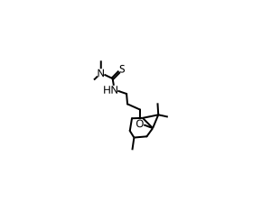 CC1CCC2C(C)(C)C2(OCCCNC(=S)N(C)C)C1